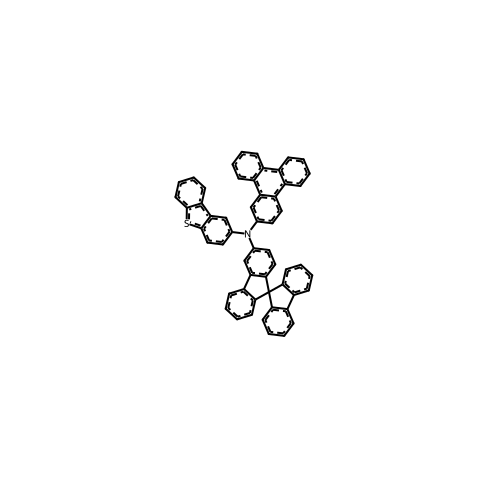 c1ccc2c(c1)-c1ccccc1C21c2ccccc2-c2cc(N(c3ccc4sc5ccccc5c4c3)c3ccc4c5ccccc5c5ccccc5c4c3)ccc21